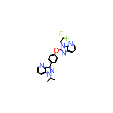 CC(C)n1nc(-c2ccc(Oc3nc4cccnc4n3CC(F)F)cc2)c2ncccc21